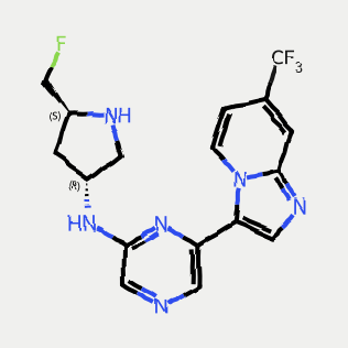 FC[C@@H]1C[C@@H](Nc2cncc(-c3cnc4cc(C(F)(F)F)ccn34)n2)CN1